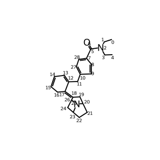 CCN(CC)C(=O)c1ccc(CC2=CC=CCC2=C2CC3CCC(C2)N3C)cc1